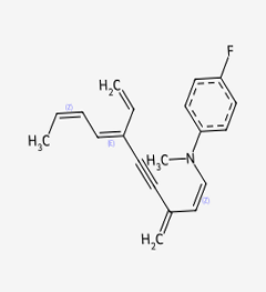 C=C/C(C#CC(=C)/C=C\N(C)c1ccc(F)cc1)=C\C=C/C